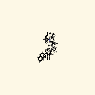 C[C@H](NC(=O)c1ccc2ccccc2n1)C(=O)N1CC[C@@H]1C(=O)N[C@H](/C=C/S(C)(=O)=O)CC(=O)OC(C)(C)C